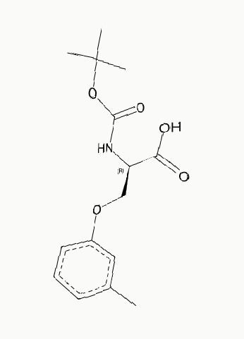 Cc1cccc(OC[C@@H](NC(=O)OC(C)(C)C)C(=O)O)c1